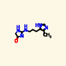 Cc1nc[nH]c1CCCNC1=NC(=O)CN1